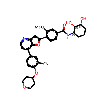 COc1cc(C(=O)N[C@@H]2CCC[C@H](O)[C@@H]2O)ccc1-c1cc2nccc(-c3ccc(OC4CCOCC4)c(C#N)c3)c2o1